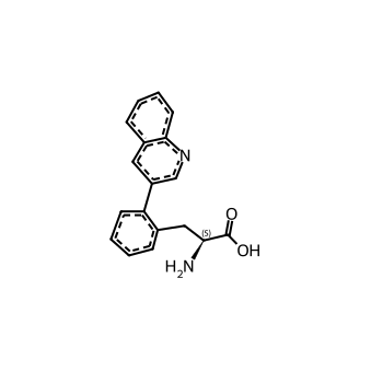 N[C@@H](Cc1ccccc1-c1cnc2ccccc2c1)C(=O)O